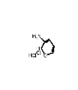 Cl.Cl.NC1=CC=COC1